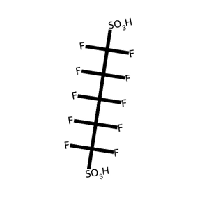 O=S(=O)(O)C(F)(F)C(F)(F)C(F)(F)C(F)(F)C(F)(F)S(=O)(=O)O